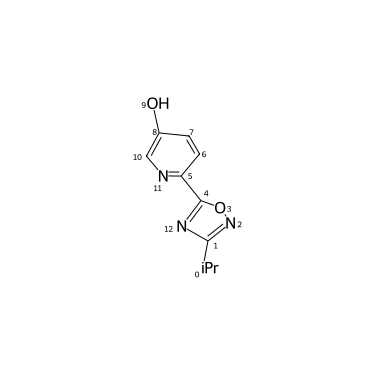 CC(C)c1noc(-c2ccc(O)cn2)n1